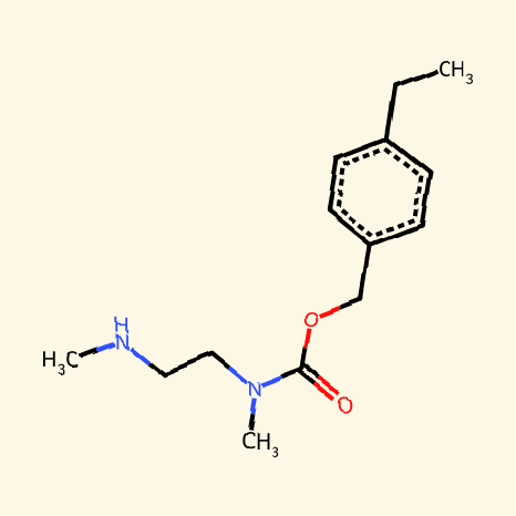 CCc1ccc(COC(=O)N(C)CCNC)cc1